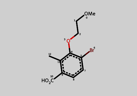 COCCOc1c(Br)ccc(C(=O)O)c1C